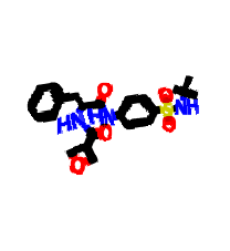 CC(C)(C)NS(=O)(=O)c1ccc(NC(=O)[C@H](Cc2ccccc2)NC(=O)C2COC2)cc1